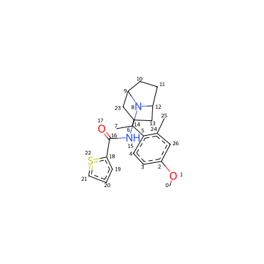 COc1ccc(C(C)N2C3CCC2CC(NC(=O)c2cccs2)C3)c(C)c1